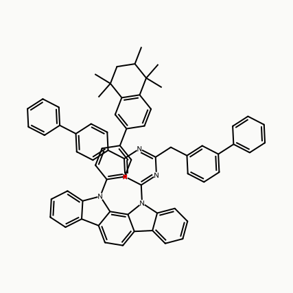 CC1CC(C)(C)c2cc(-c3ccc(-n4c5ccccc5c5ccc6c7ccccc7n(-c7nc(Cc8cccc(-c9ccccc9)c8)nc(-c8ccc(-c9ccccc9)cc8)n7)c6c54)cc3)ccc2C1(C)C